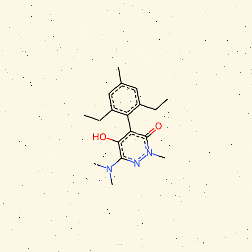 CCc1cc(C)cc(CC)c1-c1c(O)c(N(C)C)nn(C)c1=O